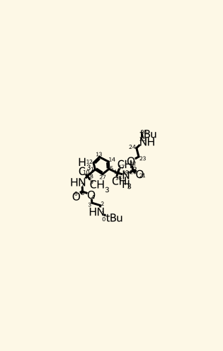 CC(C)(C)NCCOC(=O)NC(C)(C)c1cccc(C(C)(C)NC(=O)OCCNC(C)(C)C)c1